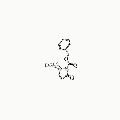 CCOC(=O)[C@@H]1CCC(=O)N1C(=O)OCc1ccccc1